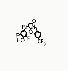 O=C1C=C(Nc2cc(F)c(O)c(F)c2)C(=O)N1Cc1ccc(C(F)(F)F)cc1